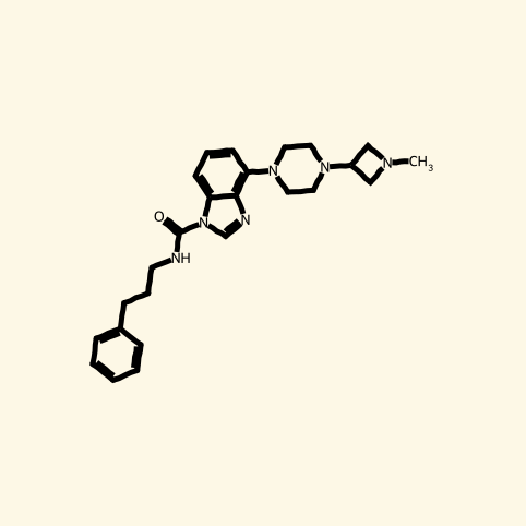 CN1CC(N2CCN(c3cccc4c3ncn4C(=O)NCCCc3ccccc3)CC2)C1